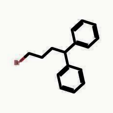 BrCCCC(c1ccccc1)c1ccccc1